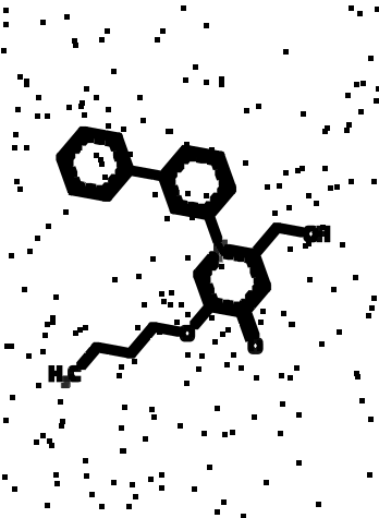 CCCCOc1cn(-c2cccc(-c3ccccc3)c2)c(CO)cc1=O